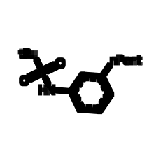 [CH2]CCCCc1cccc(NS(=O)(=O)C(C)(C)C)c1